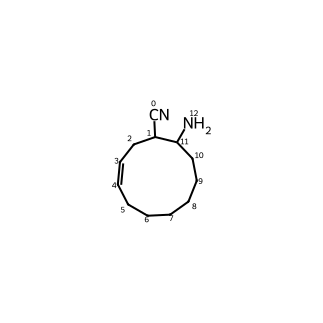 N#CC1C/C=C\CCCCCCC1N